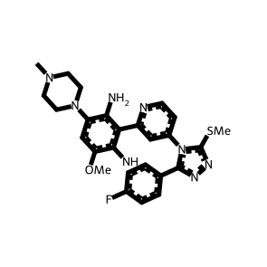 COc1cc(N2CCN(C)CC2)c(N)c(-c2cc(-n3c(SC)nnc3-c3ccc(F)cc3)ccn2)c1N